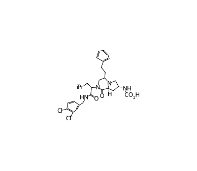 CC(C)C[C@H](C(=O)NCc1ccc(Cl)c(Cl)c1)N1CC(CCc2ccccc2)N2C[C@H](NC(=O)O)C[C@H]2C1=O